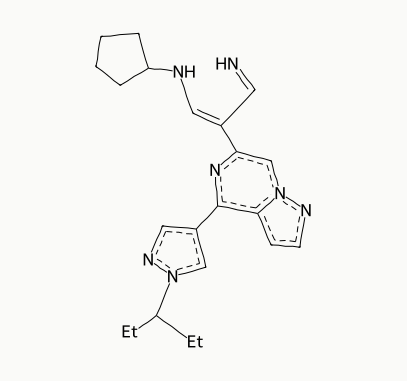 CCC(CC)n1cc(-c2nc(/C(C=N)=C/NC3CCCC3)cn3nccc23)cn1